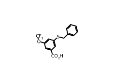 O=C(O)c1cc(OC(F)(F)F)cc(SCc2ccccc2)c1